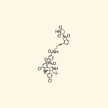 COc1cc(C(=O)NCCCC#Cc2cccc3c2CN(C2CCC(=O)NC2=O)C3=O)ccc1NC(=O)[C@@H]1N[C@@H](CC(C)(C)C)[C@](C#N)(c2ccc(Cl)cc2F)[C@H]1c1cccc(Cl)c1